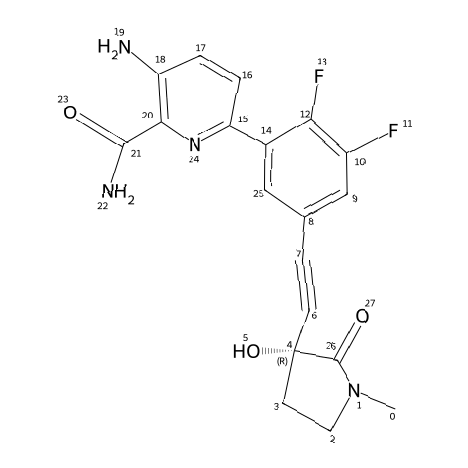 CN1CC[C@@](O)(C#Cc2cc(F)c(F)c(-c3ccc(N)c(C(N)=O)n3)c2)C1=O